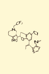 C=Nc1ccsc1/C(=C\C)c1cc(Cl)cc2c1OC(c1onc3c1CN(CC(F)(F)F)CC3)C2